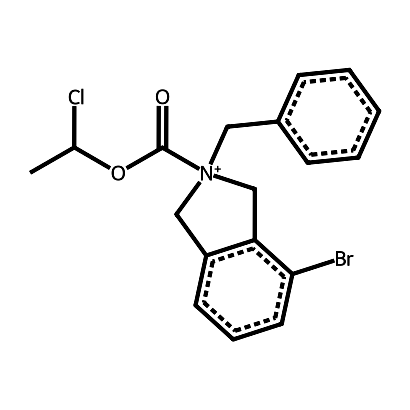 CC(Cl)OC(=O)[N+]1(Cc2ccccc2)Cc2cccc(Br)c2C1